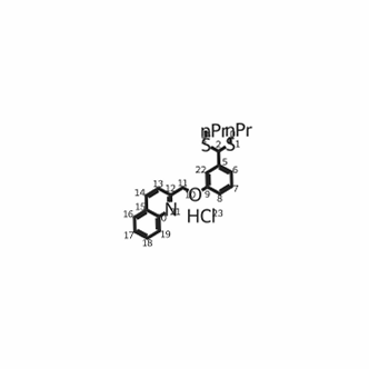 CCCSC(SCCC)c1cccc(OCc2ccc3ccccc3n2)c1.Cl